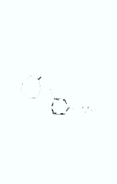 COc1cccc(C[C@H]2CCCCCC2=O)c1